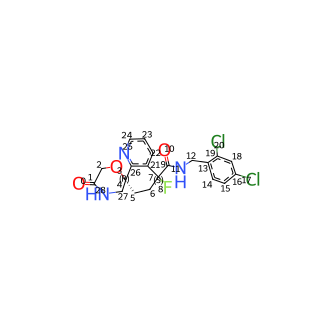 O=C1CO[C@]2(CC[C@@](F)(C(=O)NCc3ccc(Cl)cc3Cl)c3cccnc32)CN1